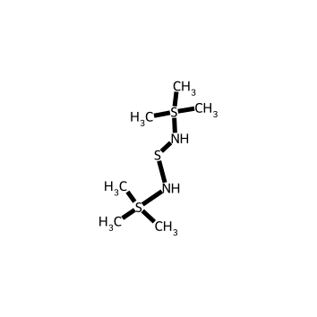 CS(C)(C)NSNS(C)(C)C